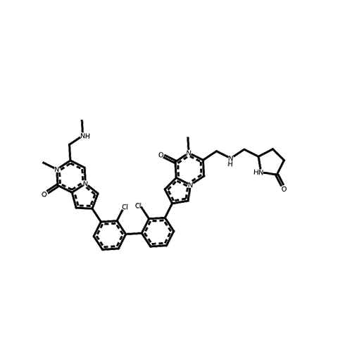 CNCc1cn2cc(-c3cccc(-c4cccc(-c5cc6c(=O)n(C)c(CNCC7CCC(=O)N7)cn6c5)c4Cl)c3Cl)cc2c(=O)n1C